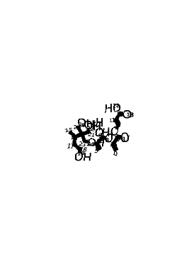 C=CC(=O)O.C=CC(=O)O.C=CC(=O)O.CC(CCO)C(CO)(CO)CO